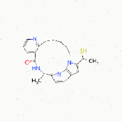 CC(S)c1cc2ccc3nc2n1CCCCCc1ncccc1C(=O)NC3C